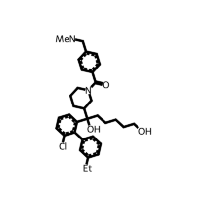 CCc1cccc(-c2c(Cl)cccc2C(O)(CCCCCO)C2CCCN(C(=O)c3ccc(CNC)cc3)C2)c1